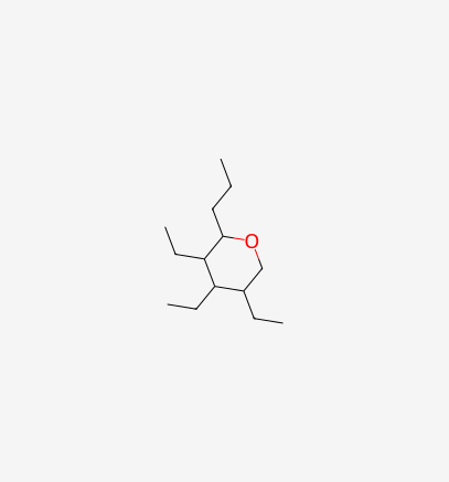 CCCC1OCC(CC)C(CC)C1CC